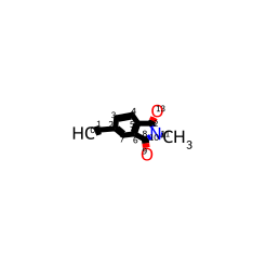 C#Cc1ccc2c(c1)C(=O)N(C)C2=O